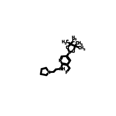 CC1(C)OB(c2cnc(NCCN3CCCC3)c(CF)c2)OC1(C)C